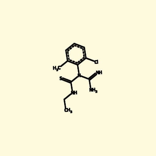 CCNC(=S)N(C(=N)N)c1c(C)cccc1Cl